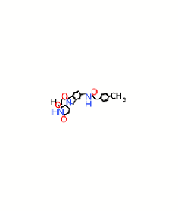 Cc1ccc(CC(=O)NCc2ccc3c(c2)CN([C@@]2(C)CCC(=O)NC2=O)C3=O)cc1